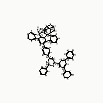 C[Si]1(C)c2ccccc2-c2cc(-c3ccc(-c4nc(-c5ccccc5)nc(-c5cc(-c6ccccc6)cc(-c6ccccc6)c5)n4)cc3)c3c(c21)C1(c2ccccc2-3)C2CC3CC(C2)CC1C3